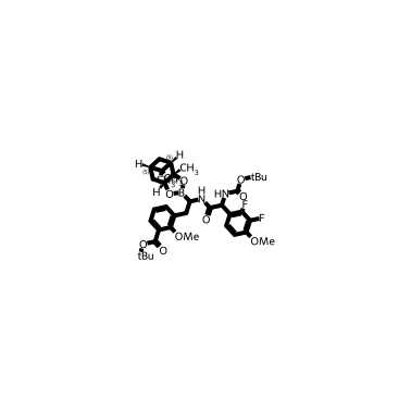 COc1ccc(C(NC(=O)OC(C)(C)C)C(=O)NC(Cc2cccc(C(=O)OC(C)(C)C)c2OC)B2O[C@@H]3C[C@@H]4C[C@@H](C4(C)C)[C@]3(C)O2)c(F)c1F